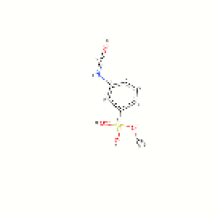 O=C=Nc1cccc(S(=O)(=O)OC(F)(F)F)c1